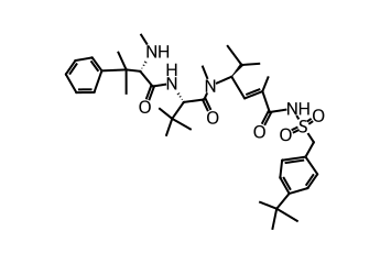 CN[C@H](C(=O)N[C@H](C(=O)N(C)[C@H](/C=C(\C)C(=O)NS(=O)(=O)Cc1ccc(C(C)(C)C)cc1)C(C)C)C(C)(C)C)C(C)(C)c1ccccc1